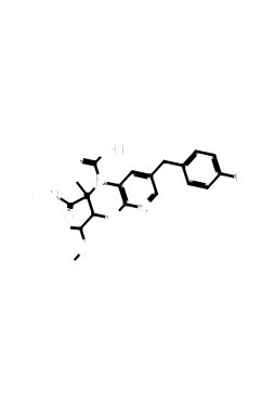 COC(C)C1Oc2ncc(Cc3ccc(F)cc3)cc2N(C(=O)O)C1(C)C(N)=O